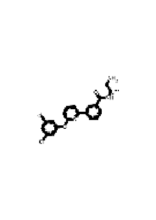 C[C@@H](CN)NC(=O)c1cccc(-c2cccc(Oc3cc(Cl)cc(Cl)c3)n2)c1